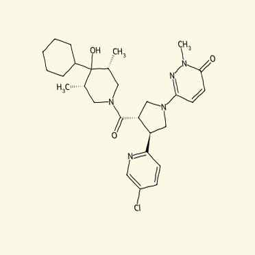 C[C@@H]1CN(C(=O)[C@@H]2CN(c3ccc(=O)n(C)n3)C[C@H]2c2ccc(Cl)cn2)C[C@H](C)C1(O)C1CCCCC1